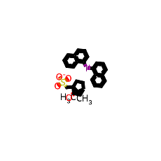 CC1(C)C2CCC1(CS(=O)(=O)[O-])C(=O)C2.c1ccc2c([I+]c3cccc4ccccc34)cccc2c1